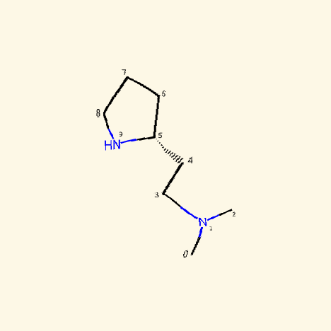 CN(C)CC[C@H]1CCCN1